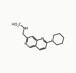 O=C(O)NCc1cc2nc(N3CCCCC3)ccc2cn1